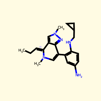 CC/C=C1/c2cn(C)nc2C(c2cc(N)ccc2NCC2CC2)=CN1C